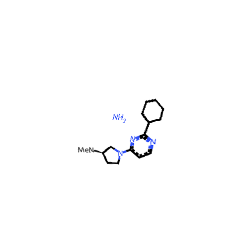 CN[C@@H]1CCN(c2ccnc(C3CCCCC3)n2)C1.N